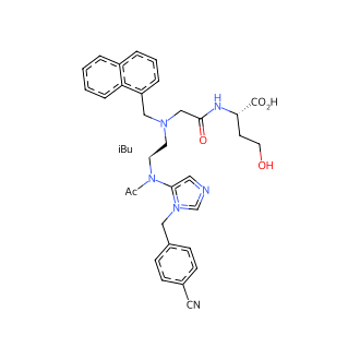 CC[C@H](C)[C@@H](CN(CC(=O)N[C@@H](CCO)C(=O)O)Cc1cccc2ccccc12)N(C(C)=O)c1cncn1Cc1ccc(C#N)cc1